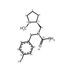 CN1CCC[C@H]1CN(Cc1ccc(F)cc1)C(N)=O